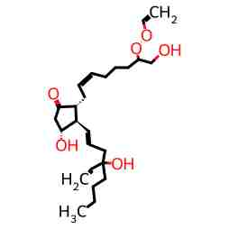 C=COOC(CO)CCC/C=C\C[C@H]1C(=O)C[C@@H](O)[C@@H]1/C=C/CC(O)(C=C)CCCC